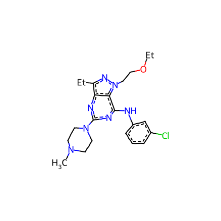 CCOCCn1nc(CC)c2nc(N3CCN(C)CC3)nc(Nc3cccc(Cl)c3)c21